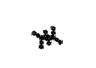 c1ccc(-c2cc(-c3nc(-c4ccc(-c5cccnc5)cc4)nc(-c4ccc(-c5cccnc5)cc4)n3)c3ccc4c(-c5ccccc5)cc(-c5nc(-c6ccc(-c7cccnc7)cc6)nc(-c6ccc(-c7cccnc7)cc6)n5)c5ccc2c3c45)cc1